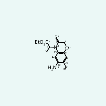 CCOC(=O)C(C)N1C(=S)COc2cc(F)c(N)cc21